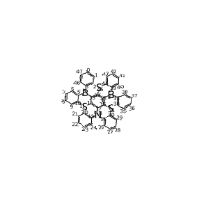 c1ccc(B2c3ccccc3Sc3c2c2c(c4c3N(c3ccccc3)c3ccccc3S4)B(c3ccccc3)c3ccccc3S2)cc1